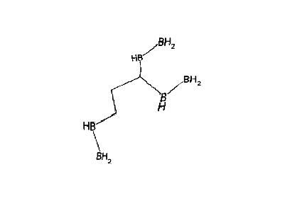 BBCCC(BB)BB